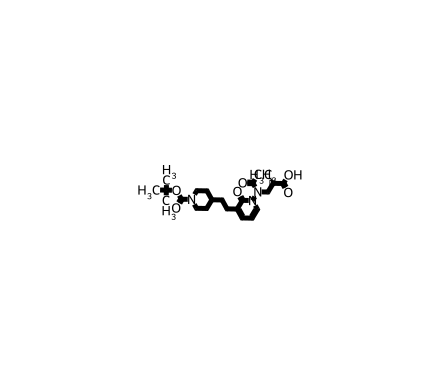 CC(=O)N(C[C@@H](C)C(=O)O)n1cccc(CCC2CCN(C(=O)OC(C)(C)C)CC2)c1=O